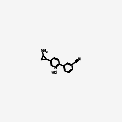 Cl.N#Cc1cccc(-c2ccc(C3CC3N)cn2)c1